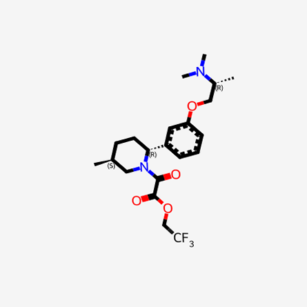 C[C@H]1CC[C@H](c2cccc(OC[C@@H](C)N(C)C)c2)N(C(=O)C(=O)OCC(F)(F)F)C1